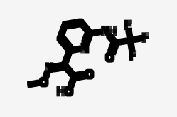 CO/N=C(\C(=O)O)c1cccc(NC(=O)C(F)(F)F)n1